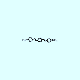 NC1CC=C(C=CC2=CCC(C=CC3CCC(N)CC3)CC2)CC1